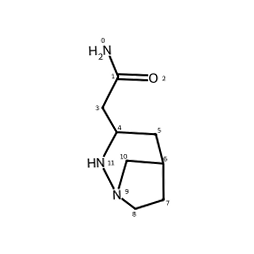 NC(=O)CC1CC2CCN(C2)N1